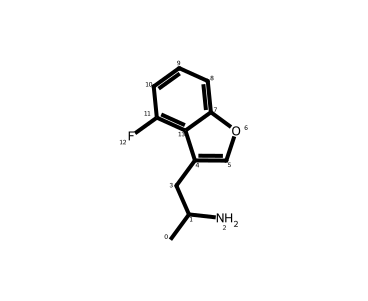 CC(N)Cc1coc2cccc(F)c12